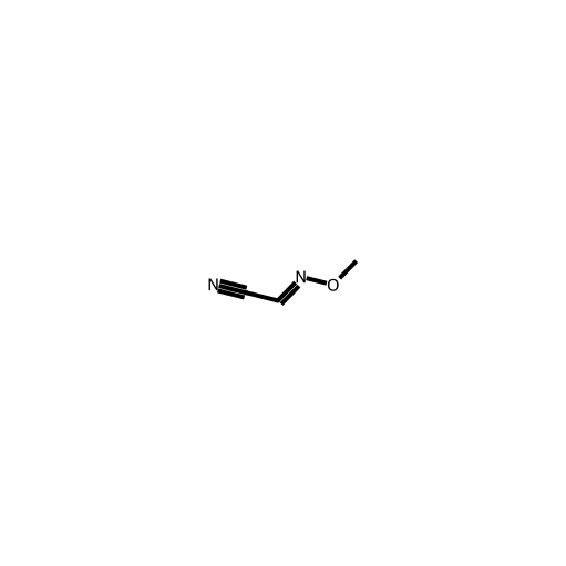 CON=CC#N